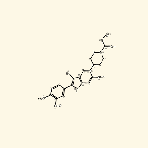 CCc1c(-c2ccc(OC)c(C=O)c2)[nH]c2cc(OC)c(C3CCN(C(=O)OC(C)(C)C)CC3)cc12